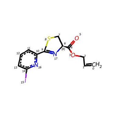 C=CCOC(=O)[C@@H]1CSC(c2cccc(I)n2)=N1